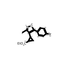 CCOC(=O)C1CC1c1c(C)noc1-c1ccc(Br)cc1